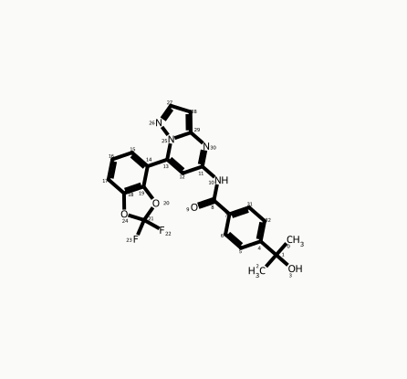 CC(C)(O)c1ccc(C(=O)Nc2cc(-c3cccc4c3OC(F)(F)O4)n3nccc3n2)cc1